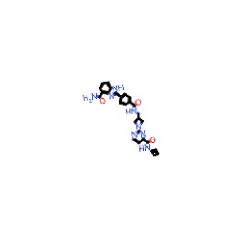 NC(=O)c1cccc2[nH]c(-c3ccc(C(=O)NCC4CN(c5nccc(C(=O)NC67CC(C6)C7)n5)C4)cc3)nc12